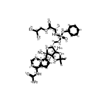 CCCC(=O)Nc1ncnn2c([C@]3(C#N)O[C@H](COP(=O)(N[C@@H](C)C(=O)OCC(CC)CC)Oc4ccccc4)[C@H]4OC(C)(C)O[C@H]43)ccc12